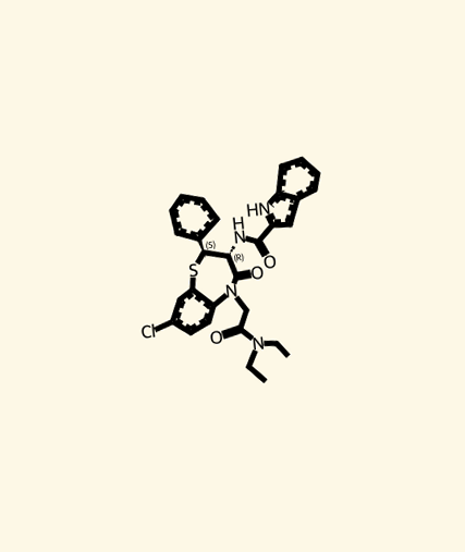 CCN(CC)C(=O)CN1C(=O)[C@@H](NC(=O)c2cc3ccccc3[nH]2)[C@H](c2ccccc2)Sc2cc(Cl)ccc21